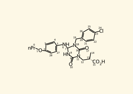 CCCOc1ccc(NC2NC(=O)N(C[C@H](C)C(=O)O)C(=O)N2Cc2ccc(Cl)cc2)cc1